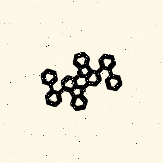 c1ccc(-c2ccccc2-c2ccc3c4c2c2ccccc2n4c2ccc(-c4ccccc4-c4ccccc4)c4c5ccccc5n3c42)cc1